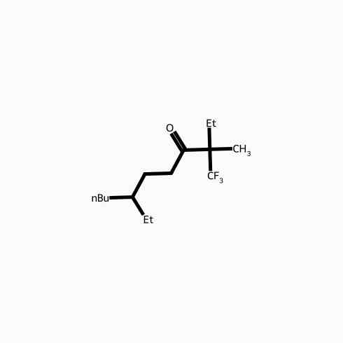 CCCCC(CC)CCC(=O)C(C)(CC)C(F)(F)F